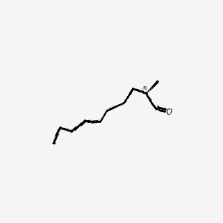 CCCCCCCC[C@@H](C)[C]=O